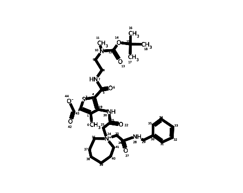 Cc1csc(C(=O)NCCN(C)C(=O)OC(C)(C)C)c1NC(=O)C[N+]1(CC(=O)NCc2ccccc2)CCCCCC1.O=C[O-]